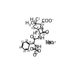 CC1(C)S[C@@H]2[C@H](NC(=O)[C@H](NS(=O)(=O)[O-])c3ccccc3)C(=O)N2[C@H]1C(=O)[O-].[Na+].[Na+]